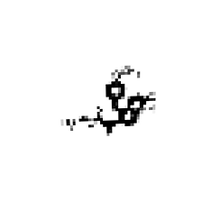 CCOC(=O)C1CC1c1ccc2[nH]c(=O)ccc2c1Cc1ccc(OC)cc1